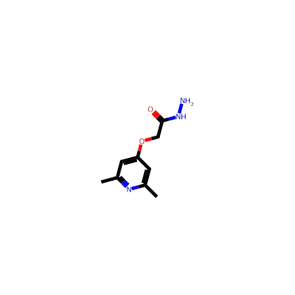 Cc1cc(OCC(=O)NN)cc(C)n1